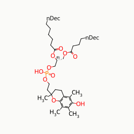 CCCCCCCCCCCCCCCC(=O)O[C@H](COC(=O)CCCCCCCCCCCCC)COP(=O)(O)OCCC1(C)CCc2c(C)c(O)c(C)c(C)c2O1